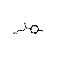 CCN(CCO)c1ccc(F)cc1